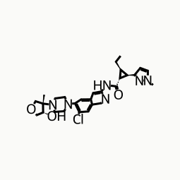 CC[C@@H]1[C@@H](C(=O)Nc2cc3cc(N4CCN([C@@]5(C)COC[C@H]5O)CC4)c(Cl)cc3cn2)[C@@H]1c1ccn(C)n1